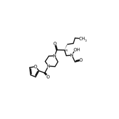 CCCC[C@H](CN(O)C=O)C(=O)N1CCN(C(=O)c2ccco2)CC1